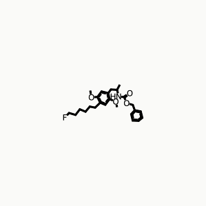 COc1cc(CC(C)NC(=O)OCc2ccccc2)c(OC)cc1CCCCCCF